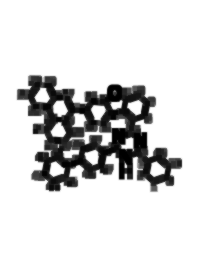 c1ccc(C2=NC(c3cccc4oc5cc(-c6cc7ccccc7c7ccccc67)ccc5c34)=NC(c3ccc(-c4ccccc4)cc3)N2)cc1